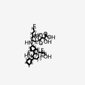 C[C@@H]1Cc2c([nH]c3ccccc23)C(c2c(F)cc(N[C@@H](CNCCCF)COC(=O)[C@H](O)[C@@H](O)C(=O)O)cc2F)N1CC(F)(F)CO